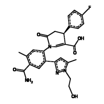 Cc1cc(N2C=C(C(=O)O)[C@H](c3ccc(F)cc3)CC2=O)c(-c2cc(C)n(CCO)n2)cc1C(N)=O